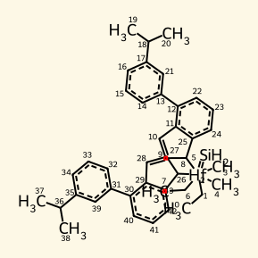 C[CH2][Hf]([CH3])([CH3])(=[SiH2])([CH2]C)([CH]1C=Cc2c(-c3cccc(C(C)C)c3)cccc21)[CH]1C=Cc2c(-c3cccc(C(C)C)c3)cccc21